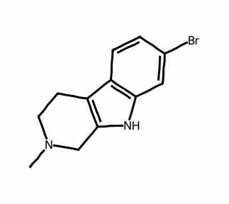 CN1CCc2c([nH]c3cc(Br)ccc23)C1